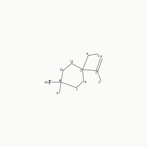 C=C(C)C1(CC)CCC(C)(F)CC1